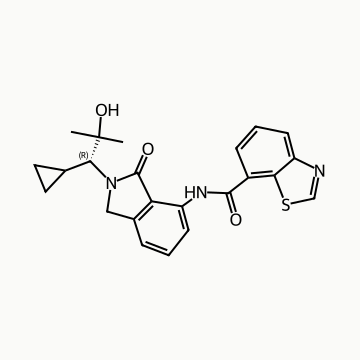 CC(C)(O)[C@@H](C1CC1)N1Cc2cccc(NC(=O)c3cccc4ncsc34)c2C1=O